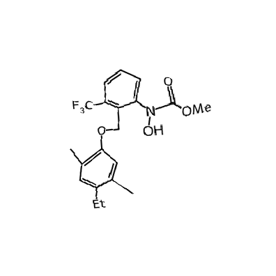 CCc1cc(C)c(OCc2c(N(O)C(=O)OC)cccc2C(F)(F)F)cc1C